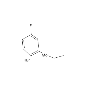 Br.C[CH2][Mg][c]1cccc(F)c1